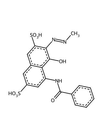 C/N=N/c1c(S(=O)(=O)O)cc2cc(S(=O)(=O)O)cc(NC(=O)c3ccccc3)c2c1O